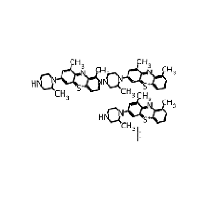 Cc1cccc2[s+]c3cc(N4CCNCC4C)cc(C)c3nc12.Cc1cccc2[s+]c3cc(N4CCNCC4C)cc(C)c3nc12.Cc1cccc2[s+]c3cc(N4CCNCC4C)cc(C)c3nc12.[I-].[I-].[I-]